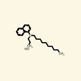 CCCCCCCCCC[O+](CCC)c1cccc2ccccc12.[OH-]